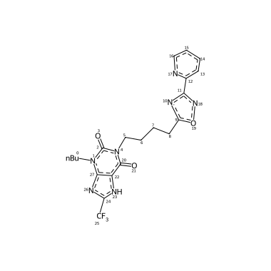 CCCCn1c(=O)n(CCCCc2nc(-c3ccccn3)no2)c(=O)c2[nH]c(C(F)(F)F)nc21